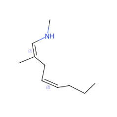 CCC/C=C\C/C(C)=C\NC